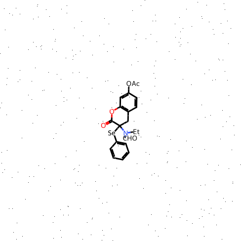 CCN(C=O)C1([Se]c2ccccc2)Cc2ccc(OC(C)=O)cc2OC1=O